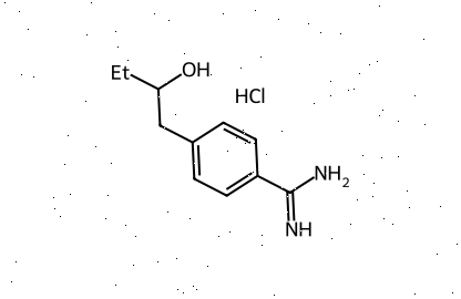 CCC(O)Cc1ccc(C(=N)N)cc1.Cl